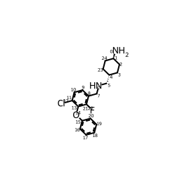 N[C@H]1CC[C@H](CNCc2ccc(Cl)c(Oc3ccccc3)c2F)CC1